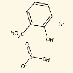 O=C(O)c1ccccc1O.O=S([O-])O.[Li+]